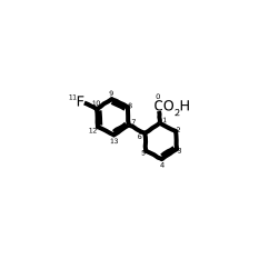 O=C(O)C1CC=CCC1c1ccc(F)cc1